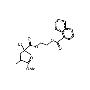 CCC(C)(CC(C)C(=O)OC)C(=O)OCCOC(=O)c1cccc2ccccc12